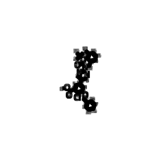 COC(=O)c1cc(-c2cnc(N(Cc3cccc(C)c3)C(=O)OC(C)(C)C)nc2)cc(OCc2ccccc2)c1Cl